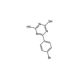 Sc1nc(S)nc(-c2ccc(Br)cc2)n1